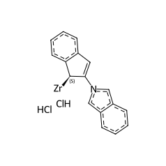 Cl.Cl.[Zr][C@@H]1C(n2cc3ccccc3c2)=Cc2ccccc21